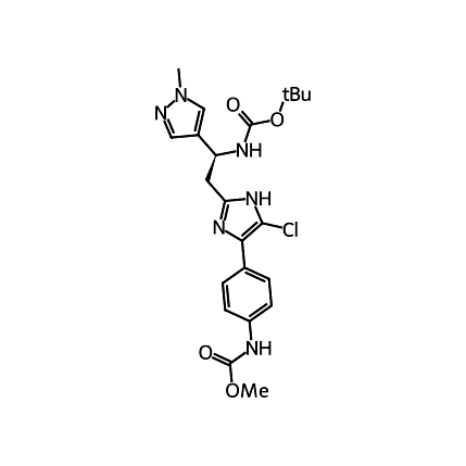 COC(=O)Nc1ccc(-c2nc(C[C@H](NC(=O)OC(C)(C)C)c3cnn(C)c3)[nH]c2Cl)cc1